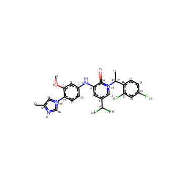 COc1cc(Nc2cc(C(F)F)cn([C@@H](C)c3ccc(F)cc3F)c2=O)ccc1-n1cnc(C)c1